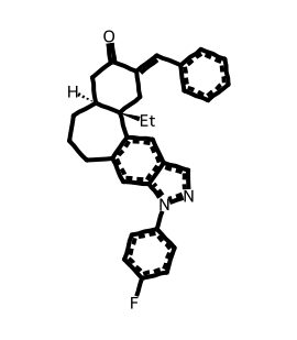 CC[C@]12C/C(=C\c3ccccc3)C(=O)C[C@@H]1CCCc1cc3c(cnn3-c3ccc(F)cc3)cc12